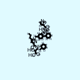 CCCc1cc(C(=O)N[C@H](Cc2ccccc2)[C@@H](O)C(=O)O)nn1Cc1ccc(-c2ccccc2S(=O)(=O)NC(=O)c2ccno2)cc1